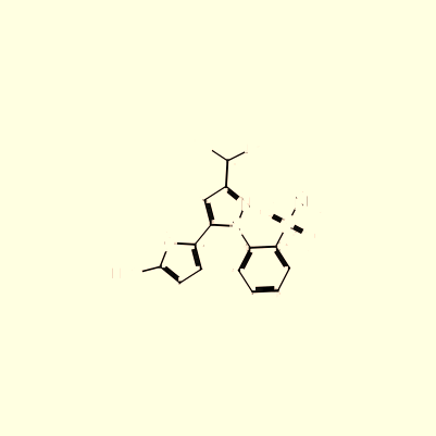 Cc1ccc(-c2cc(C(F)F)nn2-c2ccccc2S(N)(=O)=O)o1